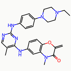 C=C1Oc2ccc(Nc3nc(Nc4ccc(N5CCN(CC)CC5)cc4)ncc3C)cc2N(C)C1=O